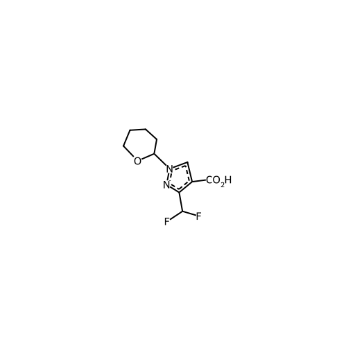 O=C(O)c1cn(C2CCCCO2)nc1C(F)F